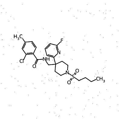 CCCCS(=O)(=O)N1CCC(CNC(=O)c2ccc(C)cc2Cl)(c2cccc(F)n2)CC1